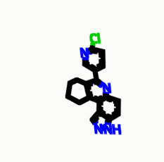 Clc1ccc(-c2nc3ccc4[nH]ncc4c3c3c2CCCC3)cn1